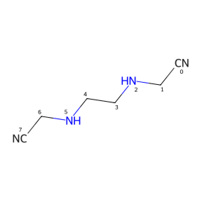 N#CCNCCNCC#N